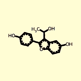 CC(O)c1c(-c2ccc(O)cc2)oc2ccc(O)cc12